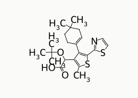 Cc1sc(-c2nccs2)c(C2=CCC(C)(C)CC2)c1C(OC(C)(C)C)C(=O)O